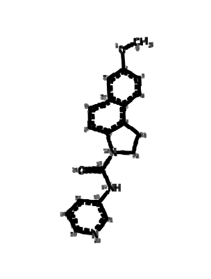 COc1ccc2c3c(ccc2c1)N(C(=O)Nc1cccnc1)CC3